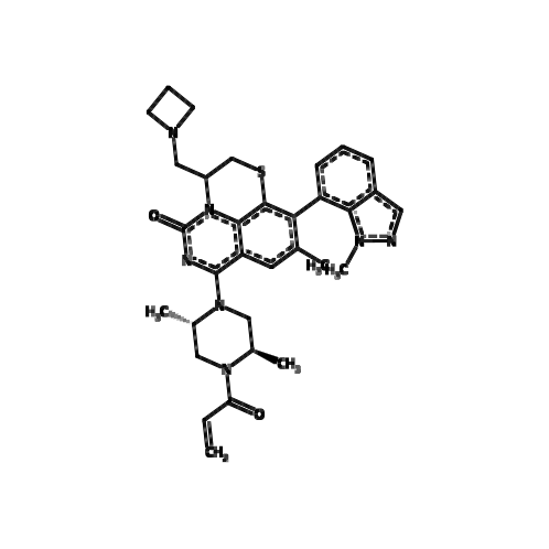 C=CC(=O)N1C[C@H](C)N(c2nc(=O)n3c4c(c(-c5cccc6cnn(C)c56)c(C)cc24)SCC3CN2CCC2)C[C@H]1C